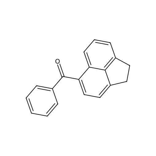 O=C(c1ccccc1)c1ccc2c3c(cccc13)CC2